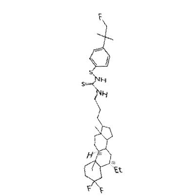 CC[C@H]1CC2C3CCC(CCCNC(=S)NSc4ccc(C(C)(C)CF)cc4)C3(C)CC[C@@H]2C2(C)CCC(F)(F)CC12